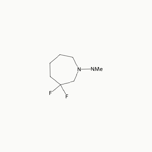 CNN1CCCCC(F)(F)C1